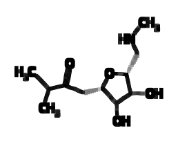 CNC[C@H]1O[C@@H](CC(=O)C(C)C)C(O)C1O